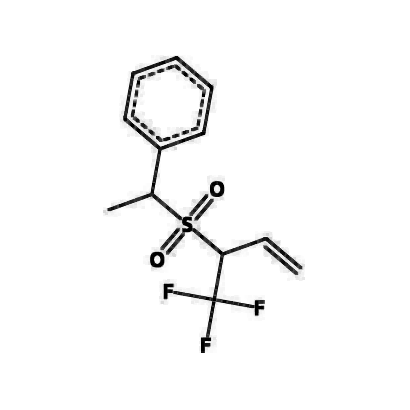 C=CC(C(F)(F)F)S(=O)(=O)C(C)c1ccccc1